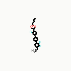 BCc1ccc(-c2ccc(-c3ccc(C4COC(CCC=C)OC4)c(F)c3)cc2)c(F)c1F